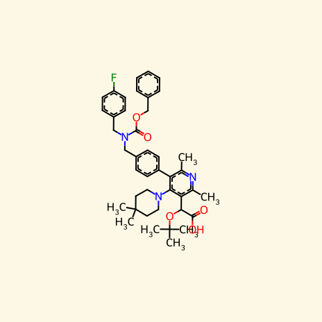 Cc1nc(C)c(C(OC(C)(C)C)C(=O)O)c(N2CCC(C)(C)CC2)c1-c1ccc(CN(Cc2ccc(F)cc2)C(=O)OCc2ccccc2)cc1